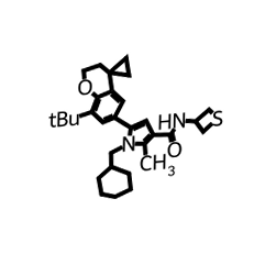 Cc1c(C(=O)NC2CSC2)cc(-c2cc(C(C)(C)C)c3c(c2)C2(CCO3)CC2)n1CC1CCCCC1